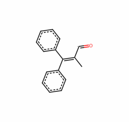 CC([C]=O)=C(c1ccccc1)c1ccccc1